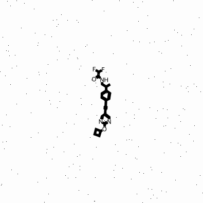 CC(CNC(=O)C(F)F)c1ccc(C#Cc2cnc(OC3CCC3)nc2)cc1